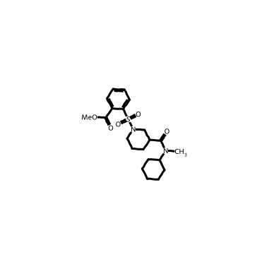 COC(=O)c1ccccc1S(=O)(=O)N1CCCC(C(=O)N(C)C2CCCCC2)C1